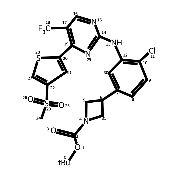 CC(C)(C)OC(=O)N1CC(c2ccc(Cl)c(Nc3ncc(C(F)(F)F)c(-c4cc(S(C)(=O)=O)cs4)n3)c2)C1